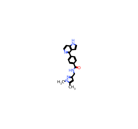 Cc1cc(CNC(=O)c2ccc(-c3nccc4[nH]ccc34)cc2)nn1C